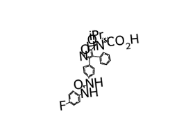 CC(C)[C@H](NC(=O)c1onc(-c2ccc(NC(=O)Nc3ccc(F)cc3)cc2)c1-c1ccccc1)C(=O)O